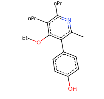 CCCc1nc(C)c(-c2ccc(O)cc2)c(OCC)c1CCC